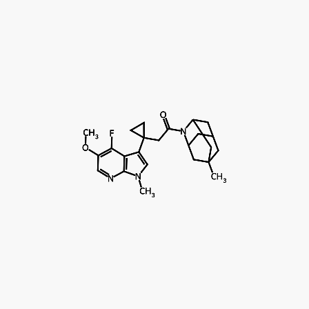 COc1cnc2c(c(C3(CC(=O)N4C5CC6CC4CC(C)(C6)C5)CC3)cn2C)c1F